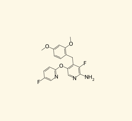 COc1ccc(Cc2c(Oc3ccc(F)cn3)cnc(N)c2F)c(OC)c1